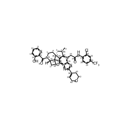 C[C@@H]1C[C@]2(CCN(C(=O)c3ncccc3O)[C@H]3CC[C@H]32)c2c1n(CC(=O)Nc1ccc(C(F)(F)F)cc1Cl)c1nc(C3=CCOCC3)nn1c2=O